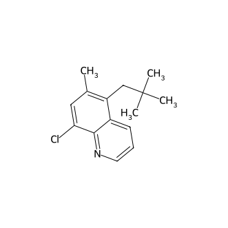 Cc1cc(Cl)c2ncccc2c1CC(C)(C)C